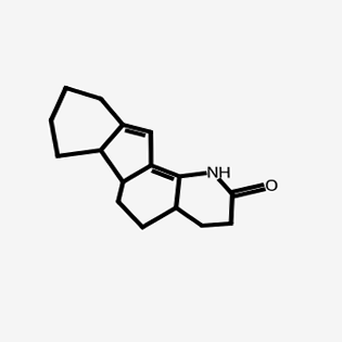 O=C1CCC2CCC3C(=C2N1)C=C1CCCCC13